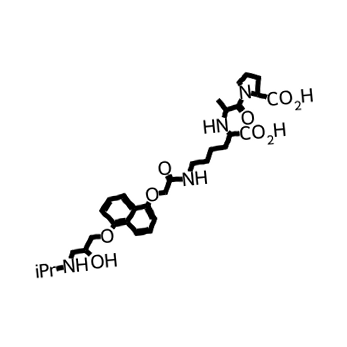 CC(C)NCC(O)COc1cccc2c(OCC(=O)NCCCCC(NC(C)C(=O)N3CCCC3C(=O)O)C(=O)O)cccc12